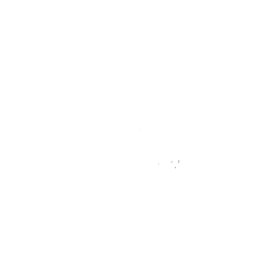 COc1ccsc1C(C)C